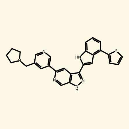 c1csc(-c2cccc3[nH]c(-c4n[nH]c5cnc(-c6cncc(CN7CCCC7)c6)cc45)cc23)c1